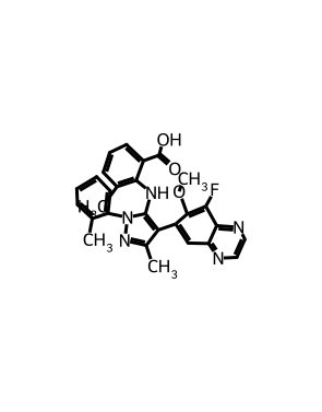 COc1c(-c2c(C)nn(-c3ccccc3C)c2Nc2c(C)cccc2C(=O)O)cc2nccnc2c1F